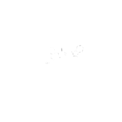 NCC(=O)N1CCC[C@H]1C(O)C(=O)NCn1nnc2ccccc21